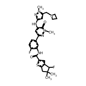 Cn1nc(Nc2cc(-c3ccc(F)c(NC(=O)c4cc5c(s4)CC(C)(C)C5F)c3)nn(C)c2=O)cc1CN1CCC1